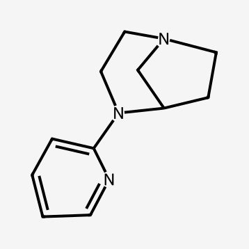 c1ccc(N2CCN3CCC2C3)nc1